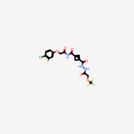 O=C(COC(F)(F)F)NNC(=O)C12CC(C(=O)NC(=O)COc3ccc(Cl)c(F)c3)(C1)C2